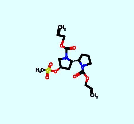 C=CCOC(=O)N1CCCC1[C@@H]1C[C@@H](OS(C)(=O)=O)CN1C(=O)OCC=C